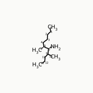 CCCCC[C@H](C)[C@@H](N)C(C)CCC